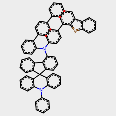 c1ccc(-c2ccc(-c3ccccc3N(c3ccc(-c4cccc5c4sc4ccccc45)cc3)c3cccc4c3-c3ccccc3C43c4ccccc4N(c4ccccc4)c4ccccc43)cc2)cc1